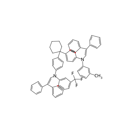 Cc1cccc(N(C=C(c2ccccc2)c2ccccc2)c2ccc(C3(c4ccc(N(C=C(c5ccccc5)c5ccccc5)c5cccc(C(F)(F)F)c5)cc4)CCCCC3)cc2)c1